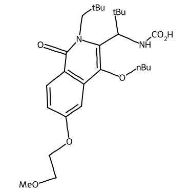 CCCCOc1c(C(NC(=O)O)C(C)(C)C)n(CC(C)(C)C)c(=O)c2ccc(OCCOC)cc12